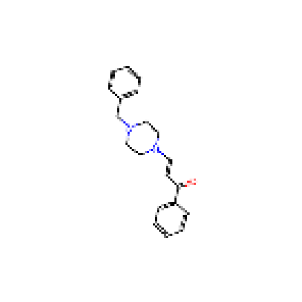 O=C(C=CN1CCN(Cc2ccccc2)CC1)c1ccccc1